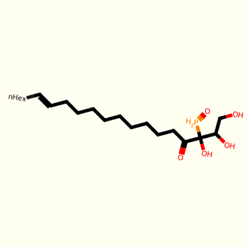 CCCCCCC=CCCCCCCCCCC(=O)C(O)([PH2]=O)C(O)CO